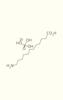 NCCCCCCCCCCCC(=O)O.O=P(O)(O)O.[Zr]